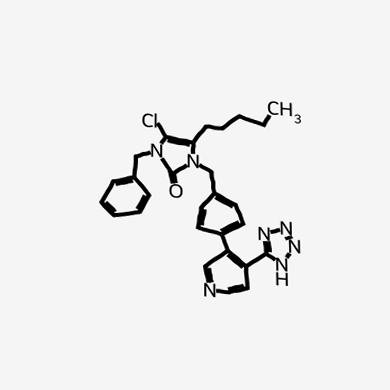 CCCCCc1c(Cl)n(Cc2ccccc2)c(=O)n1Cc1ccc(-c2cnccc2-c2nnn[nH]2)cc1